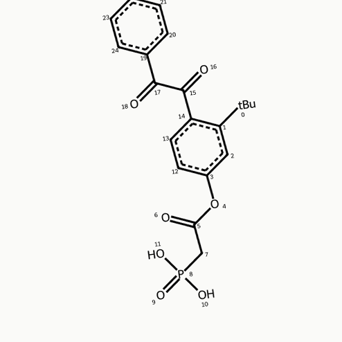 CC(C)(C)c1cc(OC(=O)CP(=O)(O)O)ccc1C(=O)C(=O)c1ccccc1